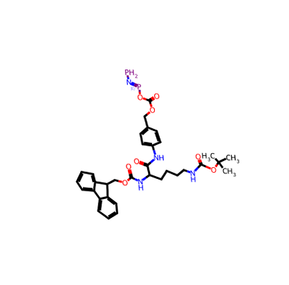 CC(C)(C)OC(=O)NCCCCC(NC(=O)OCC1c2ccccc2-c2ccccc21)C(=O)Nc1ccc(COC(=O)O/P=N/P)cc1